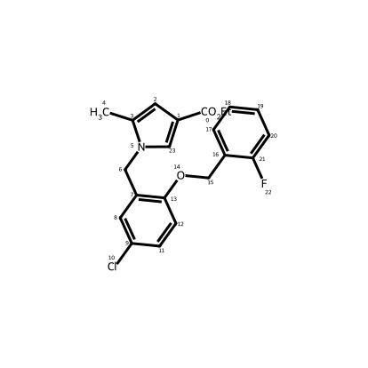 CCOC(=O)c1cc(C)n(Cc2cc(Cl)ccc2OCc2ccccc2F)c1